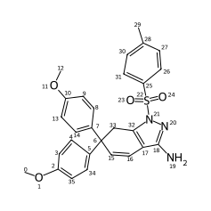 COc1ccc(C2(c3ccc(OC)cc3)C=Cc3c(N)nn(S(=O)(=O)c4ccc(C)cc4)c3C2)cc1